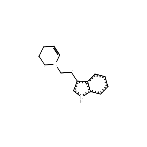 C1=CN(CCc2c[nH]c3ccccc23)CCC1